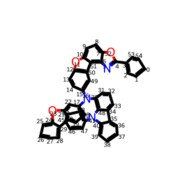 c1ccc(-c2nc3c(ccc4oc5ccc(N(c6ccc7c(c6)oc6ccccc67)c6cccc7c8ccccc8n(-c8ccccc8)c67)cc5c43)o2)cc1